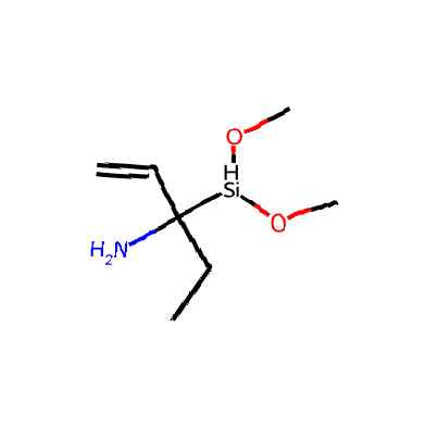 C=CC(N)(CC)[SiH](OC)OC